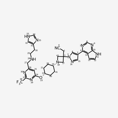 N#CCC1(n2cc(-c3ncnc4[nH]ccc34)cn2)CN([C@H]2CC[C@@H](Oc3cc(CNCCc4c[nH]cn4)nc(C(F)(F)F)n3)CC2)C1